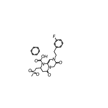 CS(=O)(=O)CC1CC(=O)N2CC(=O)N(CCc3cccc(F)c3)C=C2N1C(=O)O.c1ccccc1